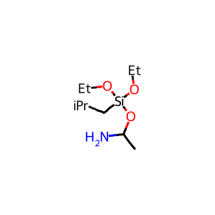 CCO[Si](CC(C)C)(OCC)OC(C)N